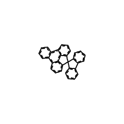 c1ccc2c(c1)-c1ccccc1C21c2cccc3c4ccccc4c4cccc1c4c23